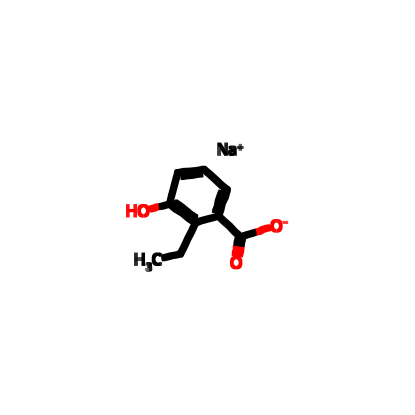 CCc1c(O)cccc1C(=O)[O-].[Na+]